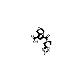 CCN(Cc1nnn(C)n1)C(=O)c1cc(C(=O)O)c2n1CCOC2